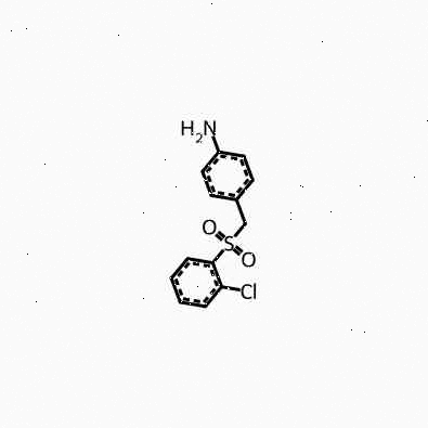 Nc1ccc(CS(=O)(=O)c2ccccc2Cl)cc1